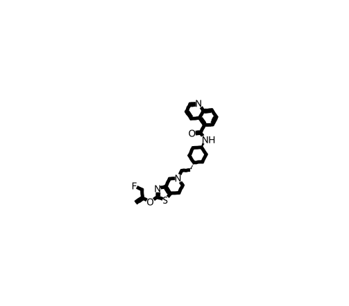 C=C(CF)Oc1nc2c(s1)CCN(CC[C@H]1CC[C@H](NC(=O)c3cccc4ncccc34)CC1)C2